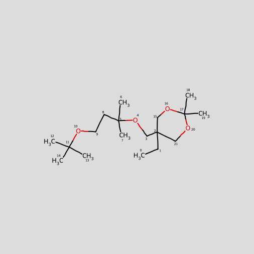 CCC1(COC(C)(C)CCOC(C)(C)C)COC(C)(C)OC1